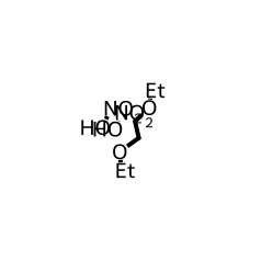 CCOCCOCC.O=[N+]([O-])O.O=[N+]([O-])O